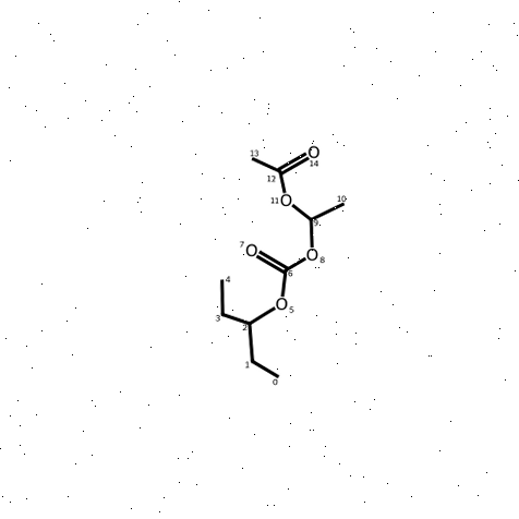 CCC(CC)OC(=O)OC(C)OC(C)=O